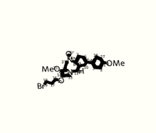 COc1ccc(C2=CC=C3[C@@H](C2)Cn2cc(OCCCBr)c(OC)c2C=[N+]3[O-])cc1